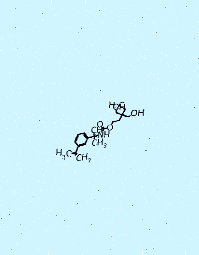 C=C(C)c1cccc(C(C)(C)NC(=O)OCCC(CC)(CO)CO)c1